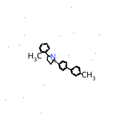 Cc1ccc(-c2ccc([C@H]3CCC(c4ccccc4C)=N3)cc2)cc1